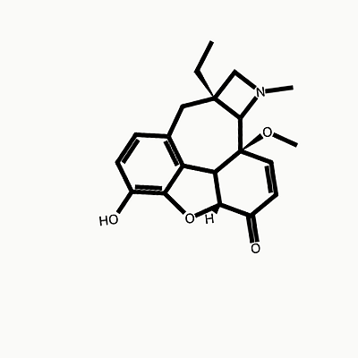 CC[C@]12Cc3ccc(O)c4c3C3[C@@H](O4)C(=O)C=C[C@@]3(OC)C1N(C)C2